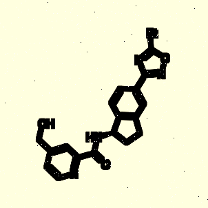 CCc1nc(-c2ccc3c(c2)CC[C@H]3NC(=O)c2cc(CO)ccn2)no1